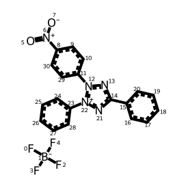 F[B-](F)(F)F.O=[N+]([O-])c1ccc(-n2nc(-c3ccccc3)n[n+]2-c2ccccc2)cc1